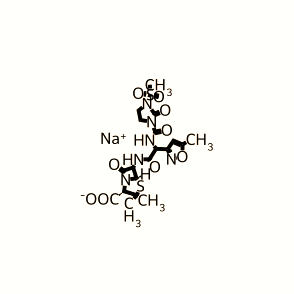 Cc1cc(C(NC(=O)N2CCN(S(C)(=O)=O)C2=O)C(=O)NC2C(=O)N3[C@@H]2SC(C)(C)[C@@H]3C(=O)[O-])no1.[Na+]